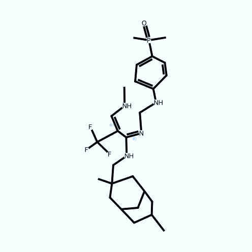 CN/C=C(\C(=N/CNc1ccc(P(C)(C)=O)cc1)NCC1(C)CC2CC(C)CC(C2)C1)C(F)(F)F